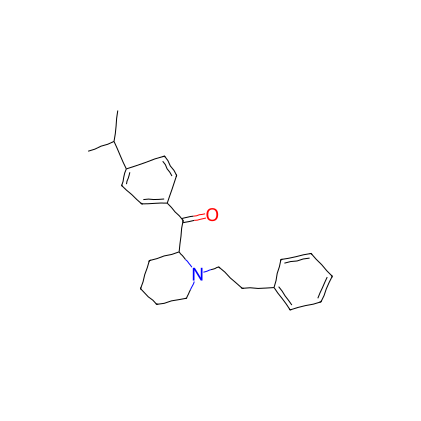 CC(C)c1ccc(C(=O)C2CCCCN2CCc2ccccc2)cc1